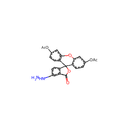 CC(=O)Oc1ccc2c(c1)Oc1cc(OC(C)=O)ccc1C21OC(=O)c2cc(NN)ccc21